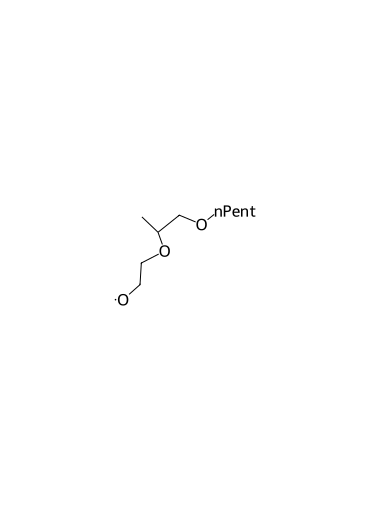 CCCCCOCC(C)OCC[O]